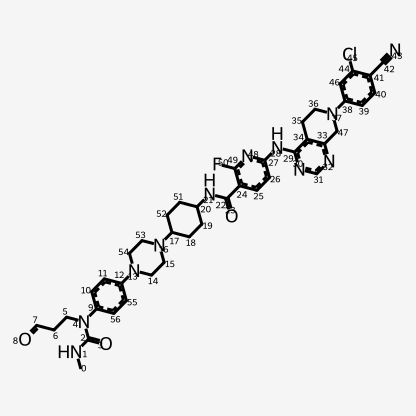 CNC(=O)N(CCC=O)c1ccc(N2CCN(C3CCC(NC(=O)c4ccc(Nc5ncnc6c5CCN(c5ccc(C#N)c(Cl)c5)C6)nc4F)CC3)CC2)cc1